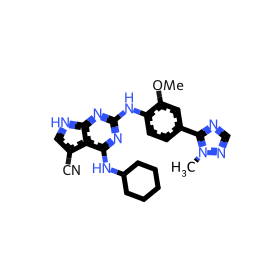 COc1cc(-c2ncnn2C)ccc1Nc1nc(NC2CCCCC2)c2c(C#N)c[nH]c2n1